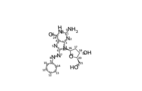 Nc1nc2c(nc(/N=N/c3ccccc3)n2[C@H]2C[C@H](O)[C@@H](CO)O2)c(=O)[nH]1